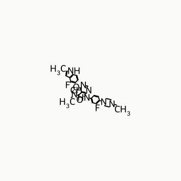 CCN1CCN(c2ccc(Nc3ncnc(Oc4ccc5[nH]c(C)cc5c4F)c3C(=O)N(C)CC)cc2F)CC1